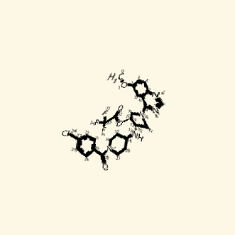 COc1ccc2ncnc(N3C[C@H](NC4CCN(C(=O)c5ccc(Cl)cc5)CC4)[C@@H](OC(=O)C(F)(F)F)C3)c2c1